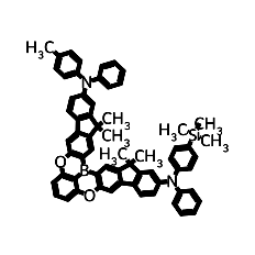 Cc1ccc(N(c2ccccc2)c2ccc3c(c2)C(C)(C)c2cc4c(cc2-3)Oc2cccc3c2B4c2cc4c(cc2O3)-c2ccc(N(c3ccccc3)c3ccc([Si](C)(C)C)cc3)cc2C4(C)C)cc1